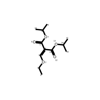 CCOC=C(C(=O)OC(C)C)C(=O)OC(C)C